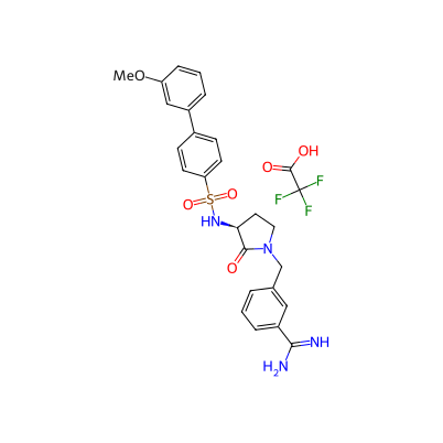 COc1cccc(-c2ccc(S(=O)(=O)N[C@H]3CCN(Cc4cccc(C(=N)N)c4)C3=O)cc2)c1.O=C(O)C(F)(F)F